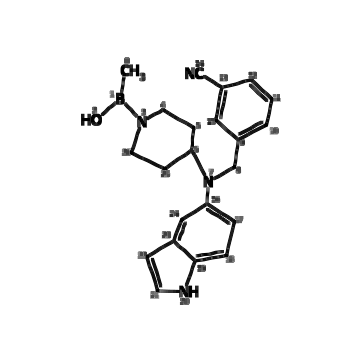 CB(O)N1CCC(N(Cc2cccc(C#N)c2)c2ccc3[nH]ccc3c2)CC1